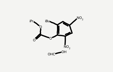 CCC(C)c1cc([N+](=O)[O-])cc([N+](=O)[O-])c1OC(=O)OC(C)C.O=CO